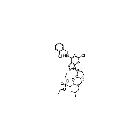 CCOP(=O)(CC(=O)N(CC(C)C)C[C@@H]1CC[C@H](n2ncc3c(NCc4ccccc4Cl)nc(Cl)nc32)O1)OCC